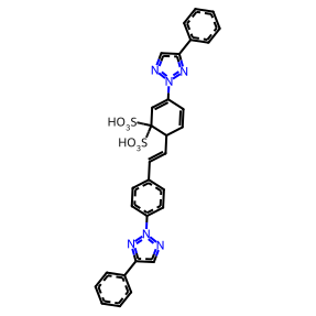 O=S(=O)(O)C1(S(=O)(=O)O)C=C(n2ncc(-c3ccccc3)n2)C=CC1C=Cc1ccc(-n2ncc(-c3ccccc3)n2)cc1